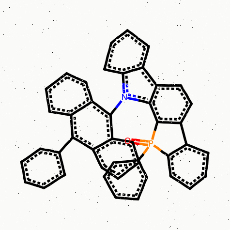 O=P1(c2ccccc2)c2ccccc2-c2ccc3c4ccccc4n(-c4c5ccccc5c(-c5ccccc5)c5ccccc45)c3c21